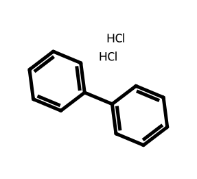 Cl.Cl.c1ccc(-c2ccccc2)cc1